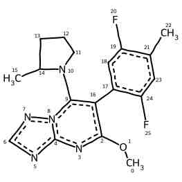 COc1nc2ncnn2c(N2CCCC2C)c1-c1cc(F)c(C)cc1F